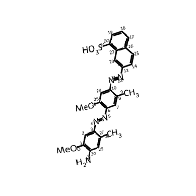 COc1cc(N=Nc2cc(C)c(N=Nc3ccc4cccc(S(=O)(=O)O)c4c3)cc2OC)c(C)cc1N